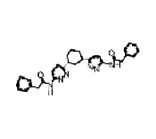 O=C(Cc1ccccc1)Nc1ccc([C@@H]2CCC[C@@H](c3ccc(NC(=O)Cc4ccccc4)nn3)C2)nn1